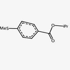 CSc1ccc(C(=O)OC(C)C)cc1